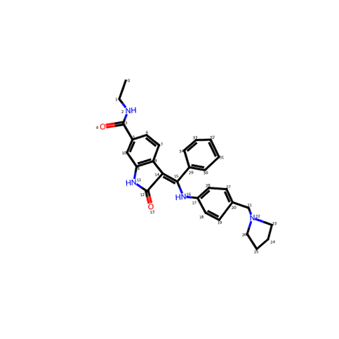 CCNC(=O)c1ccc2c(c1)NC(=O)/C2=C(\Nc1ccc(CN2CCCC2)cc1)c1ccccc1